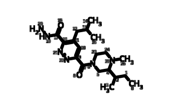 CCC(C)C1CN(C(=O)c2cc(CC(C)C)c(C(=O)NN)nn2)CCN1C